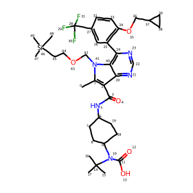 Cc1c(C(=O)NC2CCC(N(C(=O)O)C(C)(C)C)CC2)c2ncnc(-c3cc(C(F)(F)F)ccc3OCC3CC3)c2n1COCC[Si](C)(C)C